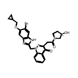 O=C(Cc1nn(Cc2nc3cc(OCC4CC4)c(Br)cc3[nH]2)c2ccccc2c1=O)N1CC[C@@H](O)C1